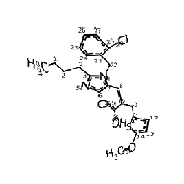 CCCCc1ncc(C=C(Cc2ccc(OC)s2)C(=O)O)n1Cc1ccccc1Cl